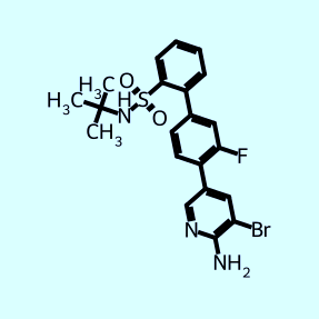 CC(C)(C)NS(=O)(=O)c1ccccc1-c1ccc(-c2cnc(N)c(Br)c2)c(F)c1